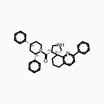 O=C([C@@H]1CNC[C@]12CCCc1ccc(-c3ccccc3)nc12)N1CC[C@@H](c2ccccc2)C[C@H]1c1ccccc1